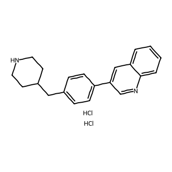 Cl.Cl.c1ccc2ncc(-c3ccc(CC4CCNCC4)cc3)cc2c1